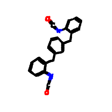 O=C=Nc1ccccc1Cc1cccc(Cc2ccccc2N=C=O)c1